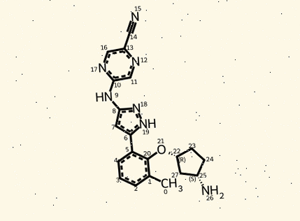 Cc1cccc(-c2cc(Nc3cnc(C#N)cn3)n[nH]2)c1O[C@@H]1CC[C@H](N)C1